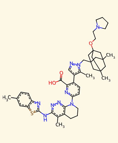 Cc1ccc2nc(Nc3nnc4c(c3C)CCCN4c3ccc(-c4cnn(CC56CC7(C)CC(C)(C5)CC(OCCN5CCCC5)(C7)C6)c4C)c(C(=O)O)n3)sc2c1